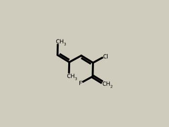 C=C(F)/C(Cl)=C\C(C)=C/C